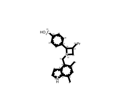 Cc1cc(C)c2[nH]ccc2c1CN1CC(C(C)C)C1c1ccc(C(=O)O)cc1